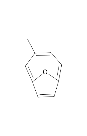 CC1=CC=c2ccc(o2)=C1